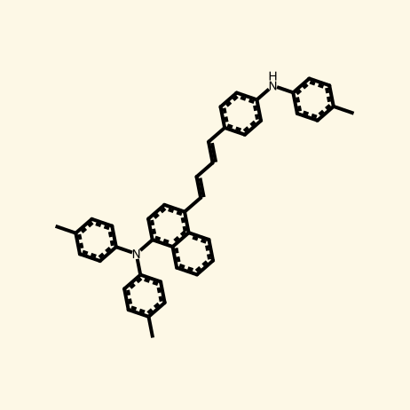 Cc1ccc(Nc2ccc(/C=C/C=C/c3ccc(N(c4ccc(C)cc4)c4ccc(C)cc4)c4ccccc34)cc2)cc1